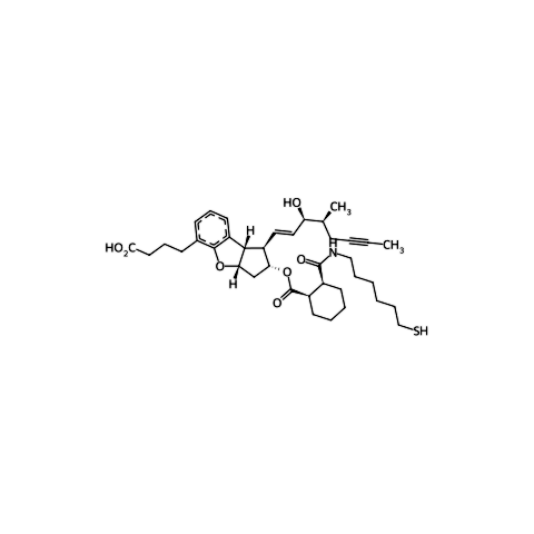 CC#CC[C@H](C)[C@H](O)/C=C/[C@@H]1[C@H]2c3cccc(CCCC(=O)O)c3O[C@H]2C[C@H]1OC(=O)[C@@H]1CCCC[C@@H]1C(=O)NCCCCCCS